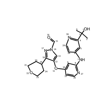 CC(C)(O)c1cc(Nc2cc(Oc3cn(C=O)nc3C3CCOCC3)ccn2)ccn1